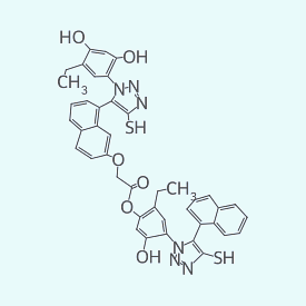 CCc1cc(-n2nnc(S)c2-c2cccc3ccc(OCC(=O)Oc4cc(O)c(-n5nnc(S)c5-c5cccc6ccccc56)cc4CC)cc23)c(O)cc1O